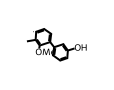 COc1c(C)[c]ccc1-c1cccc(O)c1